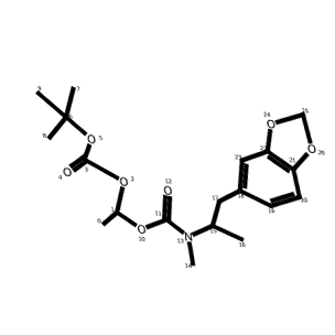 CC(OC(=O)OC(C)(C)C)OC(=O)N(C)C(C)Cc1ccc2c(c1)OCO2